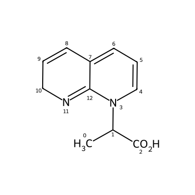 CC(C(=O)O)N1C=CC=C2C=CCN=C21